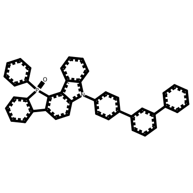 O=P1(c2ccccc2)c2ccccc2-c2ccc3c(c21)c1ccccc1n3-c1ccc(-c2cccc(-c3ccccc3)c2)cc1